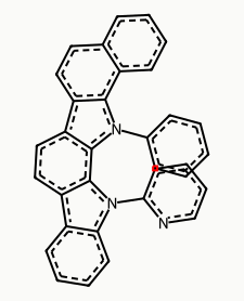 c1ccc(-n2c3c4ccccc4ccc3c3ccc4c5ccccc5n(-c5ccccn5)c4c32)cc1